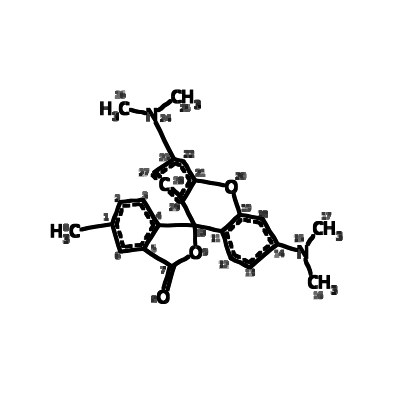 Cc1ccc2c(c1)C(=O)OC21c2ccc(N(C)C)cc2Oc2cc(N(C)C)ccc21